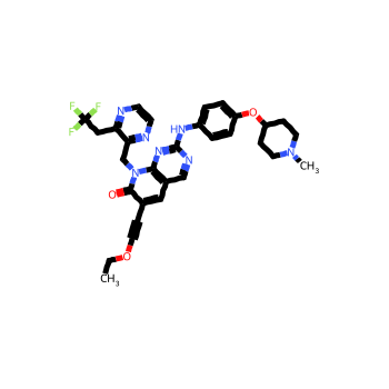 CCOC#Cc1cc2cnc(Nc3ccc(OC4CCN(C)CC4)cc3)nc2n(Cc2nccnc2CC(F)(F)F)c1=O